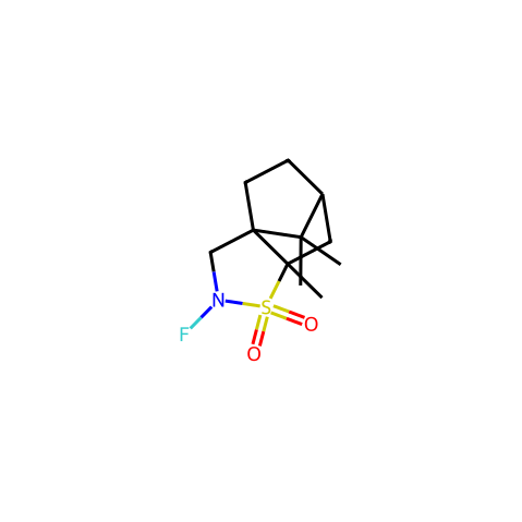 CC1(C)C2CCC13CN(F)S(=O)(=O)C3(C)C2